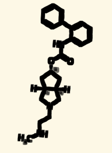 CNCCN1C[C@H]2C[C@@H](OC(=O)Nc3ccccc3-c3ccccc3)C[C@H]2C1